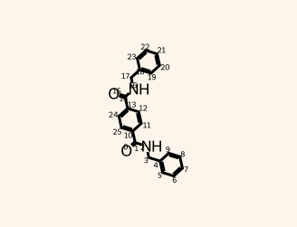 O=C(NCc1ccccc1)c1ccc(C(=O)NCc2ccccc2)cc1